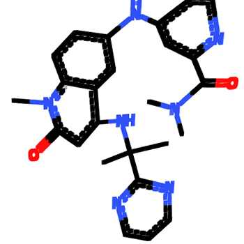 CN(C)C(=O)c1cc(Nc2ccc3c(c2)c(NC(C)(C)c2ncccn2)cc(=O)n3C)ccn1